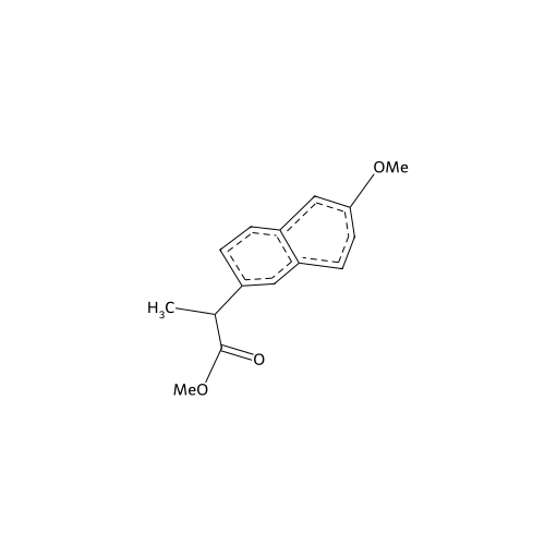 COC(=O)C(C)c1ccc2cc(OC)ccc2c1